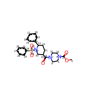 COC(=O)N1CCN(C(=O)C2CCC(c3ccccc3)N(S(=O)(=O)c3ccccc3)C2)CC1